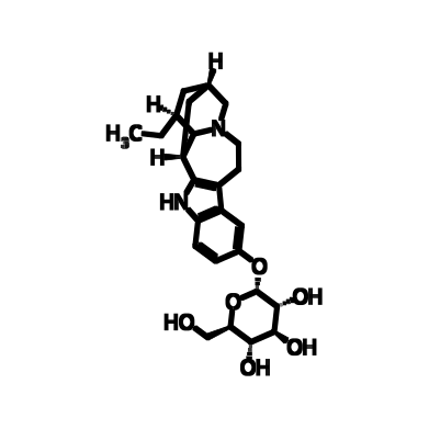 CC[C@H]1C[C@H]2C[C@H]3c4[nH]c5ccc(O[C@H]6O[C@H](CO)[C@@H](O)[C@H](O)[C@H]6O)cc5c4CCN(C2)C13